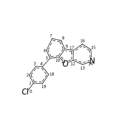 Clc1ccc(-c2cccc3c2oc2cnccc23)cc1